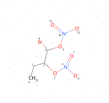 CCC(O[N+](=O)[O-])C(Br)O[N+](=O)[O-]